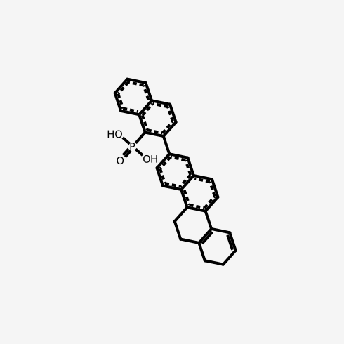 O=P(O)(O)c1c(-c2ccc3c4c(ccc3c2)C2=C(CCC=C2)CC4)ccc2ccccc12